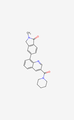 CN1Cc2cc(-c3cccc4cc(C(=O)N5CCCCC5)cnc34)ccc2C1=O